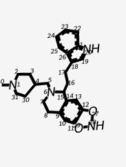 CN1CCC(CN2CCc3cc4c(cc3C2CCc2c[nH]c3ccccc23)ONO4)CC1